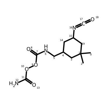 CC1(C)CC(CNC(=O)OOC(N)=O)CC(N=C=O)C1